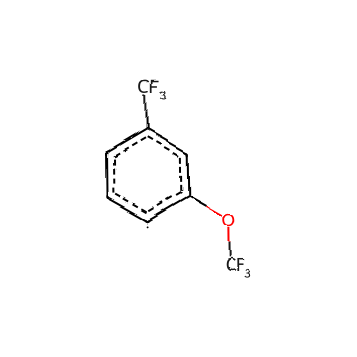 FC(F)(F)Oc1[c]ccc(C(F)(F)F)c1